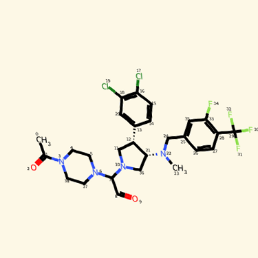 CC(=O)N1CCN(C(C=O)N2C[C@H](c3ccc(Cl)c(Cl)c3)[C@H](N(C)Cc3ccc(C(F)(F)F)c(F)c3)C2)CC1